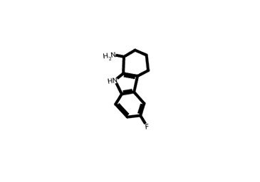 NC1CCCc2c1[nH]c1ccc(F)cc21